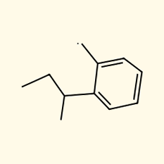 [CH2]c1ccccc1C(C)CC